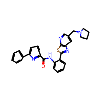 O=C(Nc1ccccc1-c1nc2cc(CN3CCCC3)cnc2s1)c1cccc(-c2ccccc2)n1